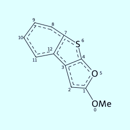 COc1cc2c(o1)sc1ccccc12